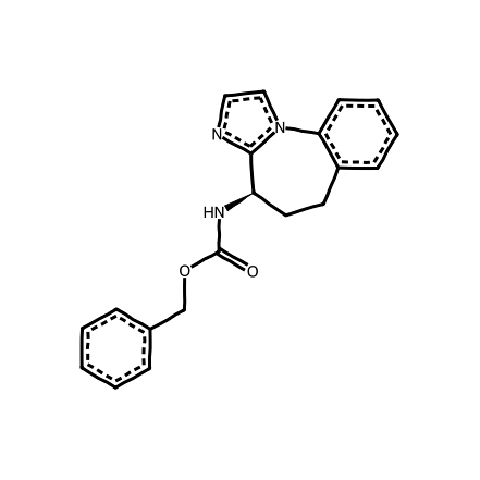 O=C(N[C@@H]1CCc2ccccc2-n2ccnc21)OCc1ccccc1